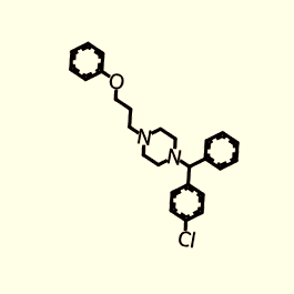 Clc1ccc(C(c2ccccc2)N2CCN(CCCOc3ccccc3)CC2)cc1